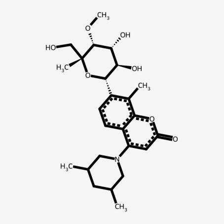 CO[C@@H]1[C@H](O)[C@@H](O)[C@H](c2ccc3c(N4CC(C)CC(C)C4)cc(=O)oc3c2C)O[C@]1(C)CO